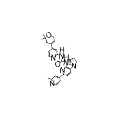 Cc1cc(-c2ccc3c(n2)N(C(=O)Nc2cc(C4CCOC(C)(C)C4)ccn2)[C@H]2CCN3C2)ccn1